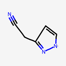 N#CCC1=N[N]C=C1